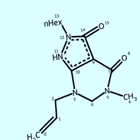 C=CCN1CN(C)C(=O)c2c1[nH]n(CCCCCC)c2=O